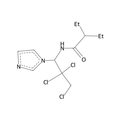 CCC(CC)C(=O)NC(n1ccnc1)C(Cl)(Cl)CCl